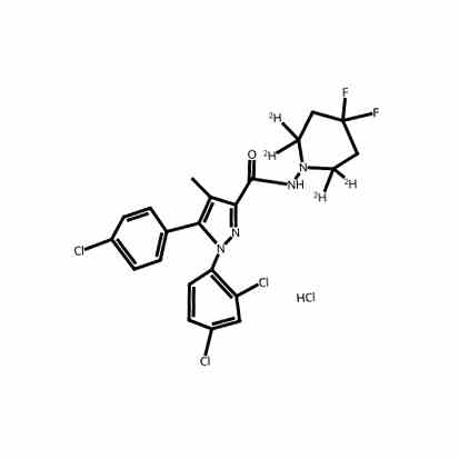 Cl.[2H]C1([2H])CC(F)(F)CC([2H])([2H])N1NC(=O)c1nn(-c2ccc(Cl)cc2Cl)c(-c2ccc(Cl)cc2)c1C